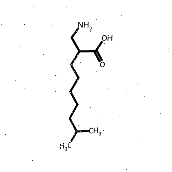 CC(C)CCCCCC(CN)C(=O)O